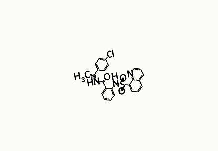 C[C@H](NC(=O)c1ccccc1NS(=O)(=O)c1cccc2cccnc12)c1ccc(Cl)cc1